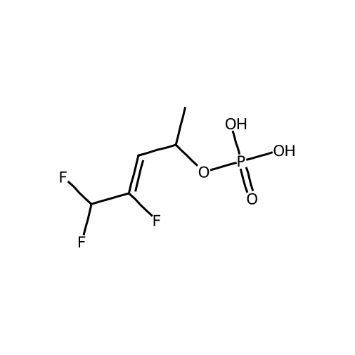 CC(C=C(F)C(F)F)OP(=O)(O)O